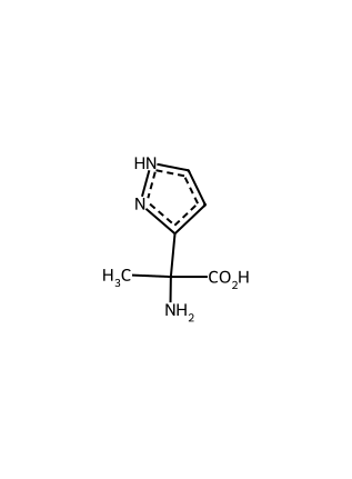 CC(N)(C(=O)O)c1cc[nH]n1